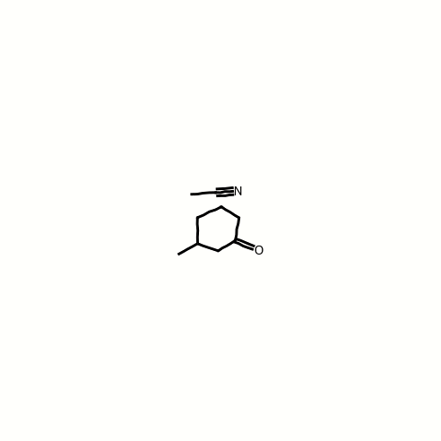 CC#N.CC1CCCC(=O)C1